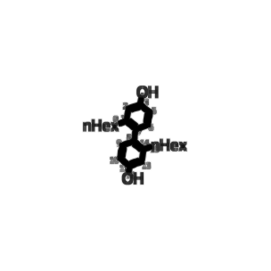 CCCCCCc1cc(O)ccc1-c1ccc(O)cc1CCCCCC